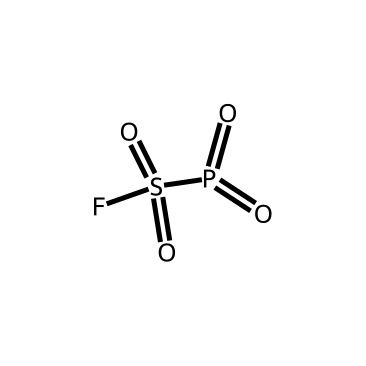 O=P(=O)S(=O)(=O)F